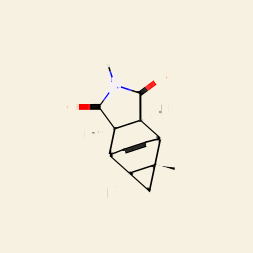 CN1C(=O)[C@@H]2C3C=CC([C@@H]4C[C@@H]34)[C@@H]2C1=O